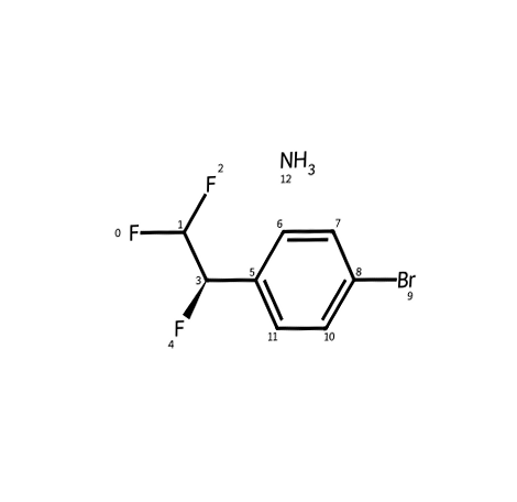 FC(F)[C@H](F)c1ccc(Br)cc1.N